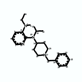 CCN(C)c1cccnc1N(C(C)C)C1CCN(Cc2ccccc2)CC1